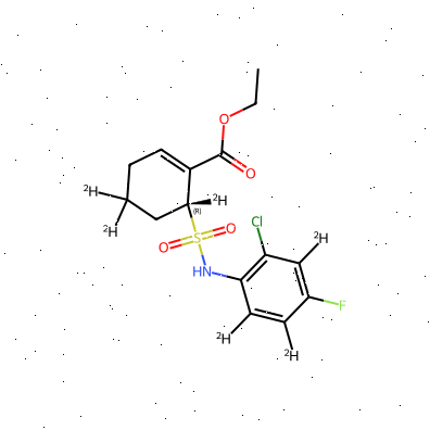 [2H]c1c([2H])c(NS(=O)(=O)[C@]2([2H])CC([2H])([2H])CC=C2C(=O)OCC)c(Cl)c([2H])c1F